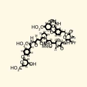 CCCNC(=O)c1cc(COC(=O)N(C)C(C(=O)NCC(=O)N(C)C(C(C)CC)[C@@H](CC(=O)N2CCC[C@H]2[C@H](OC)[C@@H](C)C(=O)N[C@H](Cc2ccc(O[C@@H]3C[C@H](O)C[C@H](C(=O)O)O3)cc2)C(=O)O)OC)C(C)C)ccc1O[C@H]1C[C@@H](O)C[C@@H](C(=O)O)C1